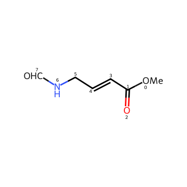 COC(=O)C=CCNC=O